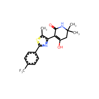 Cc1sc(-c2ccc(C(F)(F)F)cc2)nc1C1=C(O)CC(C)(C)NC1=O